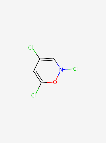 ClC1=CN(Cl)OC(Cl)=C1